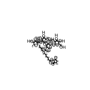 C[C@@H]1O[C@@H](CCCCN(CCCCCC(=O)ON2C(=O)CCC2=O)CCO[C@H]2O[C@H](CO[C@H]3O[C@H](CO)[C@@H](O)[C@H](O)[C@@H]3O)[C@@H](O)[C@H](O[C@H]3O[C@H](CO)[C@@H](O)[C@H](O)[C@@H]3O)[C@@H]2O)[C@@H](O)[C@H](O)[C@@H]1O